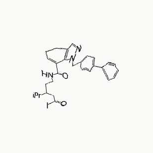 CC(C)C(CCNC(=O)C1=CCCc2cnn(Cc3ccc(-c4ccccc4)cc3)c21)CC(=O)I